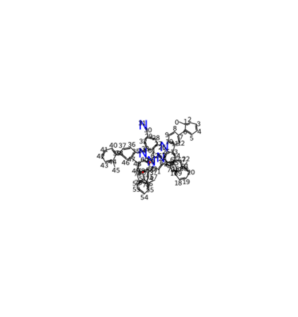 Cc1ccccc1-c1ccc2c(c1)c1cc(-c3ccccc3C)ccc1n2-c1cc(C#N)cc(-n2c3ccc(-c4ccccc4C)cc3c3cc(-c4ccccc4C)ccc32)c1-c1nc(-c2ccccc2)cc(-c2ccccc2)n1